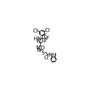 Cc1ccccc1NC(=O)CSc1nnc(C2=NNC(c3cc(Cl)cc(Cl)c3)(C(F)(F)F)C2)o1